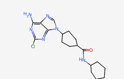 Nc1nc(Cl)nc2c1ncn2C1CCC(C(=O)NC2CCCCC2)CC1